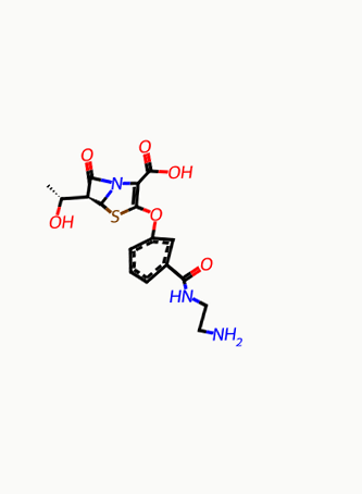 C[C@@H](O)[C@H]1C(=O)N2C(C(=O)O)=C(Oc3cccc(C(=O)NCCN)c3)SC12